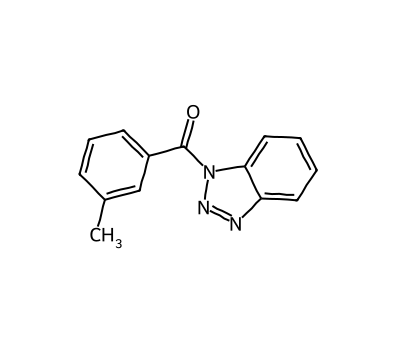 Cc1cccc(C(=O)n2nnc3ccccc32)c1